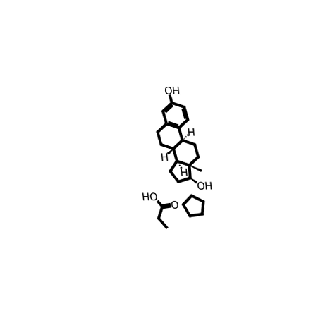 C1CCCC1.CCC(=O)O.C[C@]12CC[C@@H]3c4ccc(O)cc4CC[C@H]3[C@@H]1CC[C@@H]2O